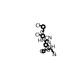 CN(C)C/C=C/C(=O)Nc1c(OC2CCOC2)ccc2c(Nc3ccc(OCc4cccc(Cl)c4)c(Cl)c3)c(C#N)cnc12